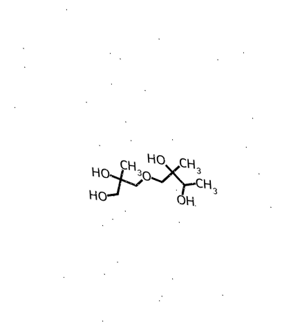 CC(O)C(C)(O)COCC(C)(O)CO